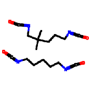 CC(C)(CCCN=C=O)CN=C=O.O=C=NCCCCCN=C=O